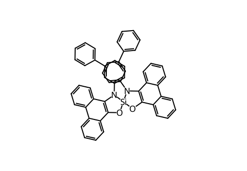 c1ccc(-c2cccc(N3c4c(c5ccccc5c5ccccc45)O[Si]34Oc3c(c5ccccc5c5ccccc35)N4c3cccc(-c4ccccc4)c3)c2)cc1